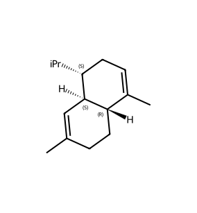 CC1=C[C@@H]2[C@@H](CC1)C(C)=CC[C@H]2C(C)C